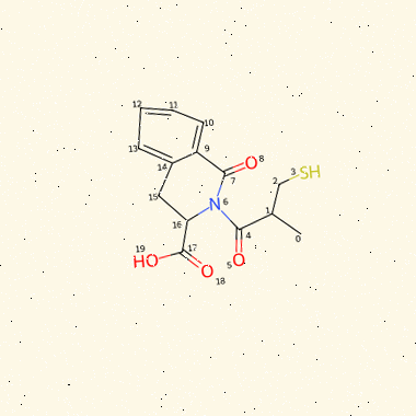 CC(CS)C(=O)N1C(=O)c2ccccc2CC1C(=O)O